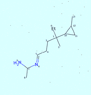 CCC(C)(CC/C=N/C(C)N)C1CC1C